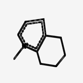 C[n+]1cccc2c1CCCC2